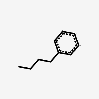 CCCCc1[c][c][c][c]c1